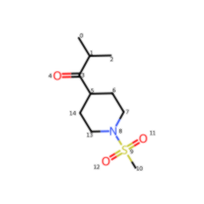 CC(C)C(=O)C1CCN(S(C)(=O)=O)CC1